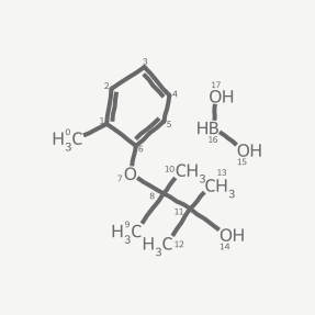 Cc1ccccc1OC(C)(C)C(C)(C)O.OBO